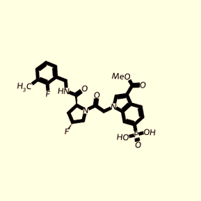 COC(=O)c1cn(CC(=O)N2C[C@H](F)C[C@H]2C(=O)NCc2cccc(C)c2F)c2cc(P(=O)(O)O)ccc12